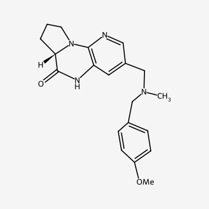 COc1ccc(CN(C)Cc2cnc3c(c2)NC(=O)[C@@H]2CCCN32)cc1